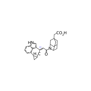 C/C(=C\C(=O)N1C2CC3CC1CC(CC(=O)O)(C3)C2)c1c[nH]c2cccc(C3CC3)c12